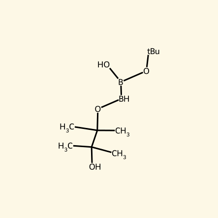 CC(C)(C)OB(O)BOC(C)(C)C(C)(C)O